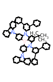 CC(C)(C)c1cc2c3c(c1)N(c1cc(-c4ccccc4)cc(-c4ccccc4)c1)c1cc(-n4c5ccccc5c5ccccc54)ccc1B3c1ccc(-n3c4ccccc4c4ccccc43)cc1N2c1cc(-c2ccccc2)cc(-c2ccccc2)c1